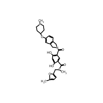 Cc1ccc(CN(C)C(=O)c2cc(C(=O)N3Cc4ccc(OC5CCN(C)CC5)cc4C3)c(O)cc2O)o1